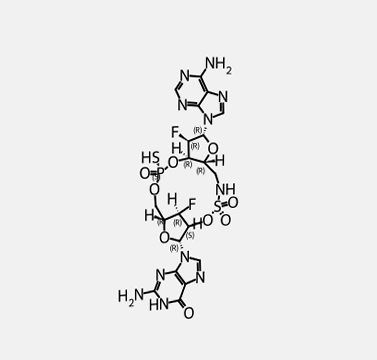 Nc1nc2c(ncn2[C@@H]2O[C@@H]3CO[P@](=O)(S)O[C@H]4[C@@H](F)[C@H](n5cnc6c(N)ncnc65)O[C@@H]4CNS(=O)(=O)O[C@@H]2[C@@H]3F)c(=O)[nH]1